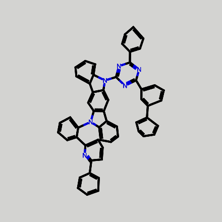 c1ccc(-c2cccc(-c3nc(-c4ccccc4)nc(-n4c5ccccc5c5cc6c(cc54)c4ccccc4n6-c4ccccc4-c4cccc(-c5ccccc5)n4)n3)c2)cc1